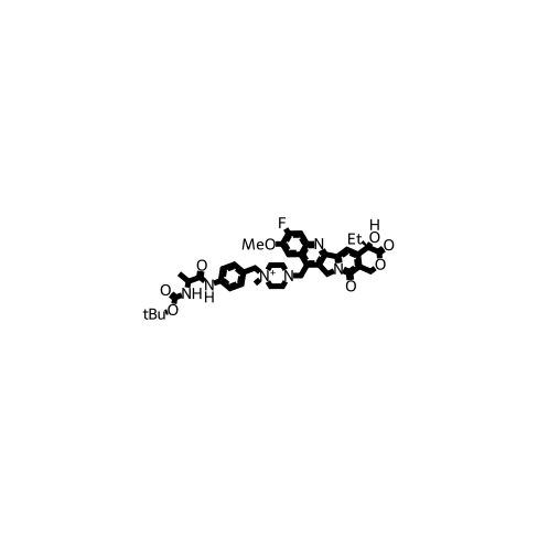 CC[C@@]1(O)C(=O)OCc2c1cc1n(c2=O)Cc2c-1nc1cc(F)c(OC)cc1c2CN1CC[N+](C)(Cc2ccc(NC(=O)C(C)NC(=O)OC(C)(C)C)cc2)CC1